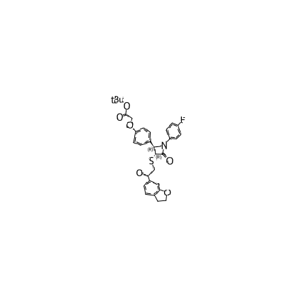 CC(C)(C)OC(=O)COc1ccc([C@@H]2[C@@H](SCC(=O)c3ccc4c(c3)OCC4)C(=O)N2c2ccc(F)cc2)cc1